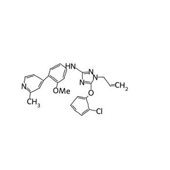 C=CCn1nc(Nc2ccc(-c3ccnc(C)c3)c(OC)c2)nc1Oc1ccccc1Cl